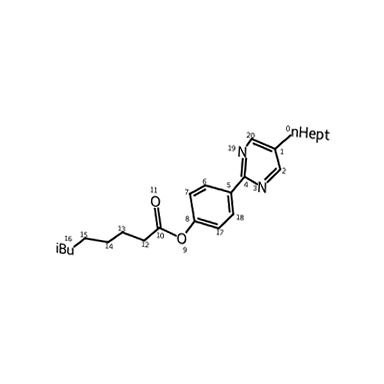 CCCCCCCc1cnc(-c2ccc(OC(=O)CCCCC(C)CC)cc2)nc1